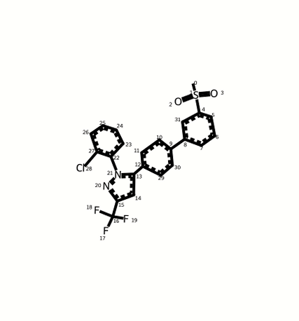 CS(=O)(=O)c1cccc(-c2ccc(-c3cc(C(F)(F)F)nn3-c3ccccc3Cl)cc2)c1